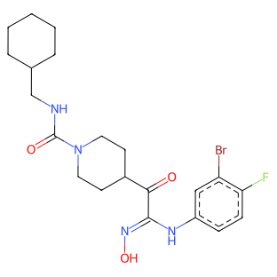 O=C(/C(=N/O)Nc1ccc(F)c(Br)c1)C1CCN(C(=O)NCC2CCCCC2)CC1